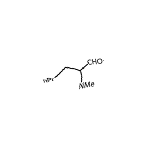 CCCCC([C]=O)NC